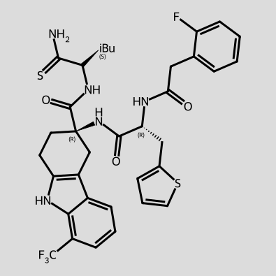 CC[C@H](C)C(NC(=O)[C@@]1(NC(=O)[C@@H](Cc2cccs2)NC(=O)Cc2ccccc2F)CCc2[nH]c3c(C(F)(F)F)cccc3c2C1)C(N)=S